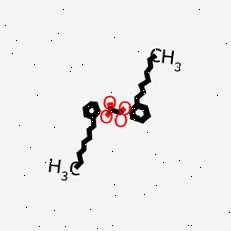 CCCCCCCCc1ccccc1OC(=O)C(=O)Oc1ccccc1CCCCCCCC